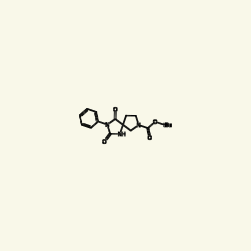 CC(C)(C)OC(=O)N1CCC2(C1)NC(=O)N(c1ccccc1)C2=O